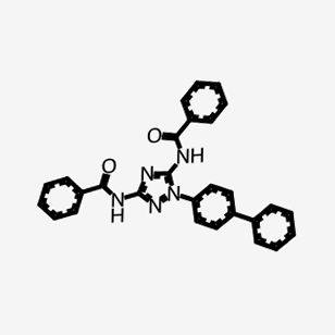 O=C(Nc1nc(NC(=O)c2ccccc2)n(-c2ccc(-c3ccccc3)cc2)n1)c1ccccc1